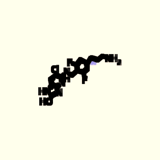 NC/C=C/c1cc(F)c(CNc2nc3nc(O)[nH]c3cc2Cl)c(F)c1